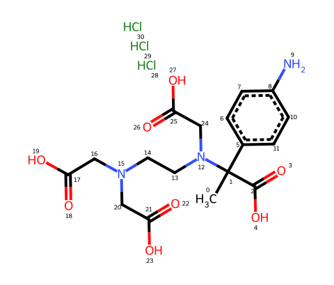 CC(C(=O)O)(c1ccc(N)cc1)N(CCN(CC(=O)O)CC(=O)O)CC(=O)O.Cl.Cl.Cl